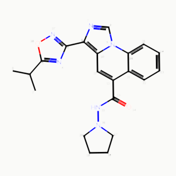 CC(C)c1nc(-c2ncn3c2cc(C(=O)NN2CCCC2)c2ccccc23)no1